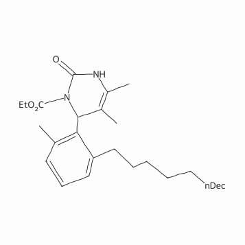 CCCCCCCCCCCCCCCc1cccc(C)c1C1C(C)=C(C)NC(=O)N1C(=O)OCC